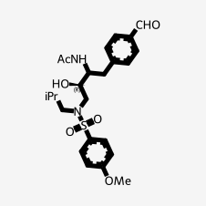 COc1ccc(S(=O)(=O)N(CC(C)C)C[C@@H](O)C(Cc2ccc(C=O)cc2)NC(C)=O)cc1